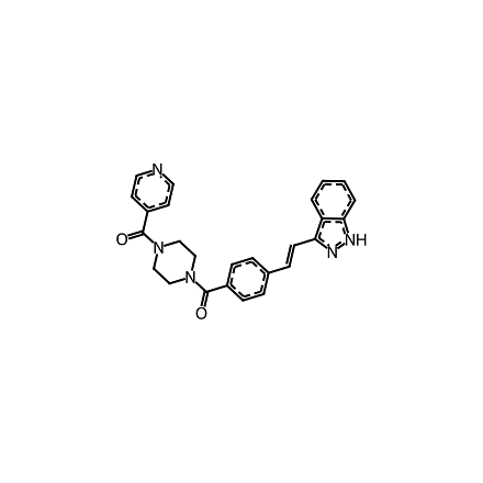 O=C(c1ccncc1)N1CCN(C(=O)c2ccc(/C=C/c3n[nH]c4ccccc34)cc2)CC1